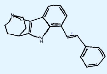 C(=C\c1cccc2c3c([nH]c12)C1CCN(CC1)C3)/c1ccccc1